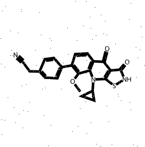 COc1c(-c2ccc(CC#N)cc2)ccc2c(=O)c3c(=O)[nH]sc3n(C3CC3)c12